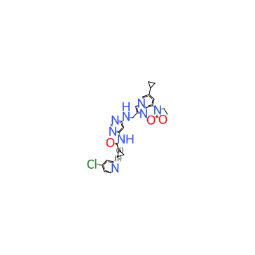 O=C(Nc1cc(NCc2cn3cc(C4CC4)cc(N4CCOC4=O)c3n2)ncn1)[C@H]1C[C@@H]1c1cc(Cl)ccn1